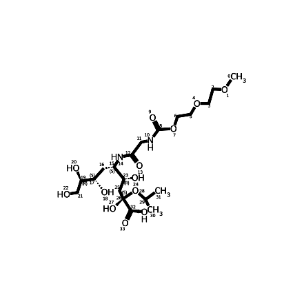 COCCOCCOC(=O)NCC(=O)N[C@@H](C[C@H](O)[C@H](O)CO)[C@H](O)C[C@](O)(OC(C)C)C(=O)O